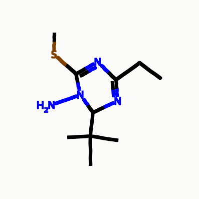 CCC1=NC(C(C)(C)C)N(N)C(SC)=N1